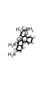 BC1(C)C=Cc2c3c(c4ccccc4c2O1)-c1ccc(C)cc1C3(C)C